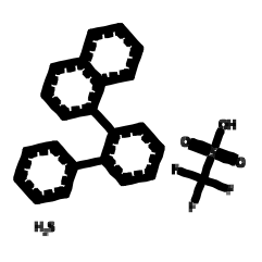 O=S(=O)(O)C(F)(F)F.S.c1ccc(-c2ccccc2-c2cccc3ccccc23)cc1